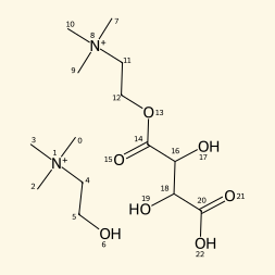 C[N+](C)(C)CCO.C[N+](C)(C)CCOC(=O)C(O)C(O)C(=O)O